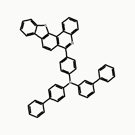 c1ccc(-c2ccc(N(c3ccc(-c4nc5ccccc5c5c4ccc4c6ccccc6sc45)cc3)c3cccc(-c4ccccc4)c3)cc2)cc1